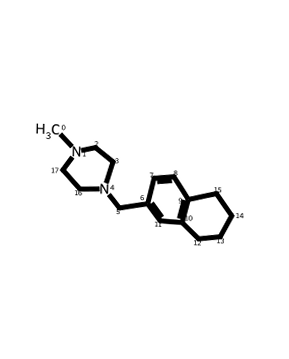 CN1CCN(Cc2ccc3c(c2)CCCC3)CC1